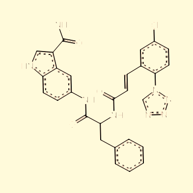 NC(=O)c1c[nH]c2ccc(NC(=O)C(Cc3ccccc3)NC(=O)C=Cc3cc(Cl)ccc3-n3cnnn3)cc12